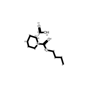 CCCCOC(=O)N1CCCC[C@@H]1C(=O)O